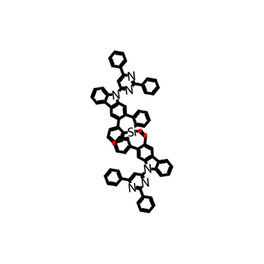 c1ccc(-c2cc(-n3c4ccccc4c4cc5c(cc43)-c3ccccc3[Si]3(c4ccccc4-5)c4ccccc4-c4cc5c6ccccc6n(-c6cc(-c7ccccc7)nc(-c7ccccc7)n6)c5cc4-c4ccccc43)nc(-c3ccccc3)n2)cc1